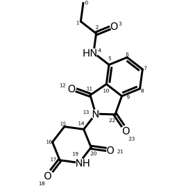 CCC(=O)Nc1cccc2c1C(=O)N(C1CCC(=O)NC1=O)C2=O